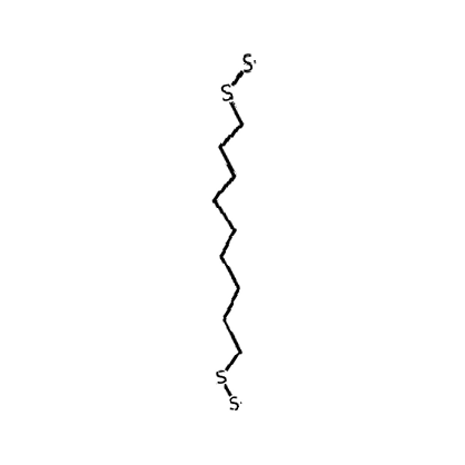 [S]SCCCCCCCCCS[S]